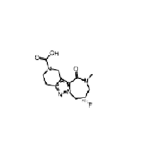 CN1C[C@H](F)Cn2nc3c(c2C1=O)CN(C(=O)O)CC3